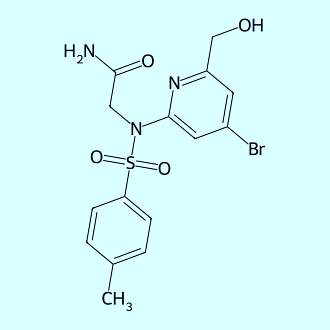 Cc1ccc(S(=O)(=O)N(CC(N)=O)c2cc(Br)cc(CO)n2)cc1